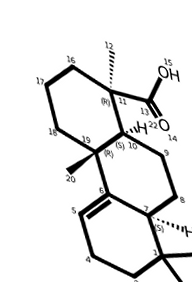 CC1(C)CCC=C2[C@H]1CC[C@@H]1[C@](C)(C(=O)O)CCC[C@@]21C